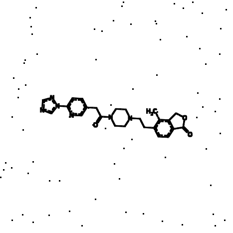 Cc1c(CCN2CCN(C(=O)Cc3ccc(-n4cncn4)nc3)CC2)ccc2c1COC2=O